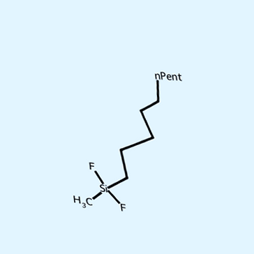 CCCCCCCCCC[Si](C)(F)F